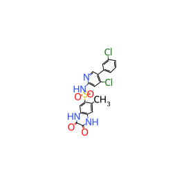 Cc1cc2[nH]c(=O)c(=O)[nH]c2cc1S(=O)(=O)Nc1cc(Cl)c(-c2cccc(Cl)c2)cn1